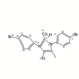 CCc1c(C)n(-c2ccc(Br)cc2)c(C(=O)O)[n+]1-c1ccc(Br)cc1